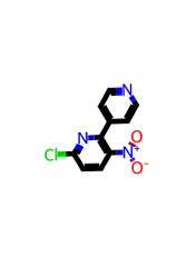 O=[N+]([O-])c1ccc(Cl)nc1-c1ccncc1